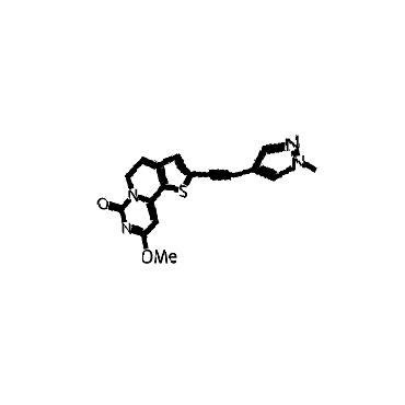 COc1cc2n(c(=O)n1)CCc1cc(C#Cc3cnn(C)c3)sc1-2